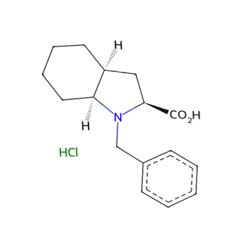 Cl.O=C(O)[C@@H]1C[C@@H]2CCCC[C@@H]2N1Cc1ccccc1